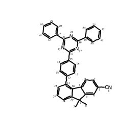 CC1(C)c2cc(C#N)ccc2-c2c(-c3ccc(-c4nc(-c5ccccc5)nc(-c5ccccc5)n4)cc3)cccc21